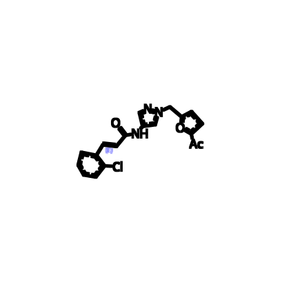 CC(=O)c1ccc(Cn2cc(NC(=O)/C=C/c3ccccc3Cl)cn2)o1